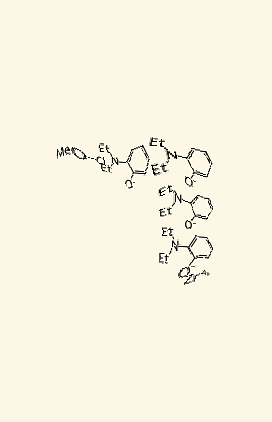 CCN(CC)c1ccccc1[O-].CCN(CC)c1ccccc1[O-].CCN(CC)c1ccccc1[O-].CCN(CC)c1ccccc1[O-].COCl.[Zr+4]